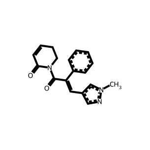 Cn1cc(C=C(C(=O)N2CCC=CC2=O)c2ccccc2)cn1